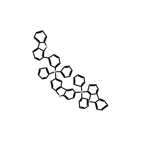 c1ccc([Si](c2ccccc2)(c2cccc(-c3cccc4c3sc3ccccc34)c2)c2ccc3sc4ccc([Si](c5ccccc5)(c5ccccc5)c5cccc6c5sc5ccccc56)cc4c3c2)cc1